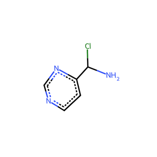 NC(Cl)c1ccncn1